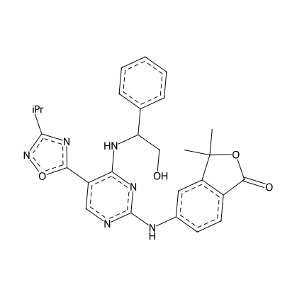 CC(C)c1noc(-c2cnc(Nc3ccc4c(c3)C(C)(C)OC4=O)nc2NC(CO)c2ccccc2)n1